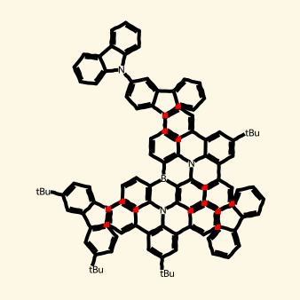 CC(C)(C)c1cc(-c2ccccc2)c(N2c3cc(-n4c5ccccc5c5cc(-n6c7ccccc7c7ccccc76)ccc54)ccc3B3c4ccc(-n5c6ccc(C(C)(C)C)cc6c6cc(C(C)(C)C)ccc65)cc4N(c4c(-c5ccccc5)cc(C(C)(C)C)cc4-c4ccccc4)c4cc(-n5c6ccccc6c6ccccc65)cc2c43)c(-c2ccccc2)c1